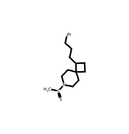 CC(C)CCCC1CCC12CCN(S(C)=S)CC2